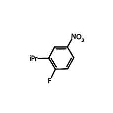 [CH2]C(C)c1cc([N+](=O)[O-])ccc1F